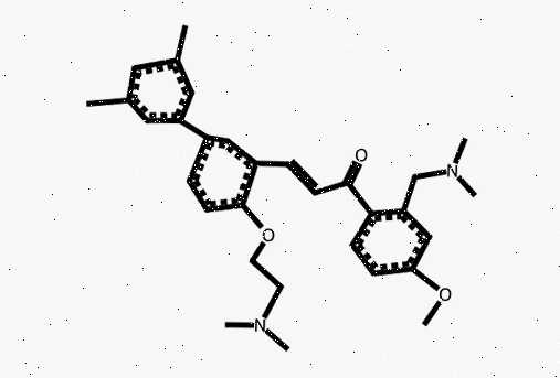 COc1ccc(C(=O)C=Cc2cc(-c3cc(C)cc(C)c3)ccc2OCCN(C)C)c(CN(C)C)c1